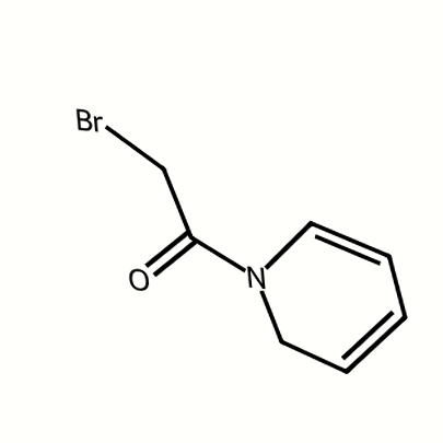 O=C(CBr)N1C=CC=CC1